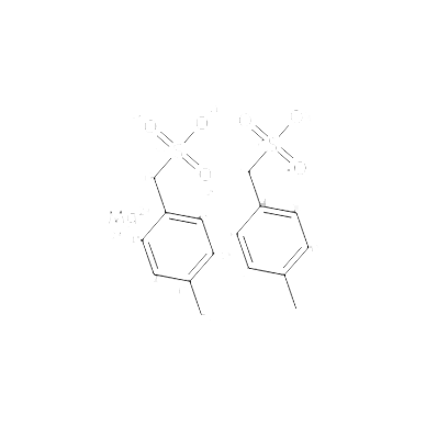 Cc1ccc(CS(=O)(=O)[O-])cc1.Cc1ccc(CS(=O)(=O)[O-])cc1.[Mg+2]